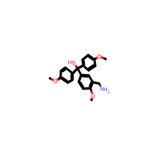 COc1ccc(C(O)(c2ccc(OC)cc2)c2ccc(OC)c(CN)c2)cc1